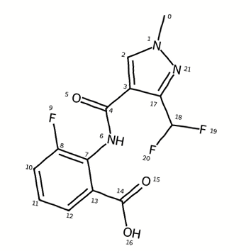 Cn1cc(C(=O)Nc2c(F)cccc2C(=O)O)c(C(F)F)n1